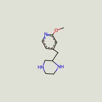 COc1cc(CC2CNCCN2)ccn1